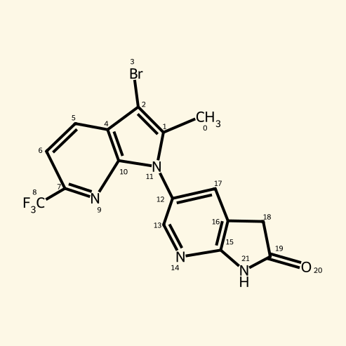 Cc1c(Br)c2ccc(C(F)(F)F)nc2n1-c1cnc2c(c1)CC(=O)N2